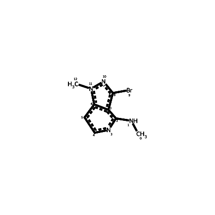 CNc1nccc2c1c(Br)nn2C